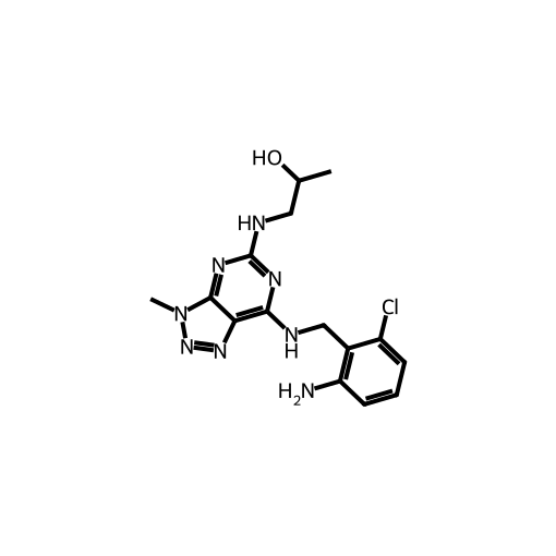 CC(O)CNc1nc(NCc2c(N)cccc2Cl)c2nnn(C)c2n1